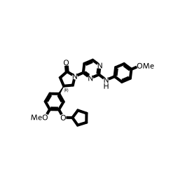 COc1ccc(Nc2nccc(N3C[C@@H](c4ccc(OC)c(OC5CCCC5)c4)CC3=O)n2)cc1